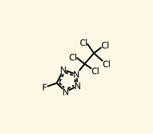 Fc1nnn(C(Cl)(Cl)C(Cl)(Cl)Cl)n1